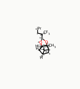 CC(C)C[C@@H](B1O[C@@H]2C[C@@H]3CC(C3(C)C)[C@]2(C)O1)C(F)(F)F